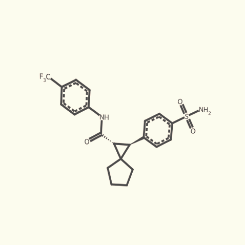 NS(=O)(=O)c1ccc([C@@H]2[C@@H](C(=O)Nc3ccc(C(F)(F)F)cc3)C23CCCC3)cc1